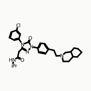 CC(C)NC(=O)Cc1nn(-c2ccc(CCN3CCC4CCCCC4C3)cc2)c(=O)n1-c1cccc(Cl)c1